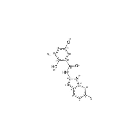 Cc1ccc2sc(NC(=O)c3cc(Cl)cc(C)c3O)nc2c1